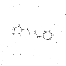 c1ccc(COCCN2CCCC2)cc1